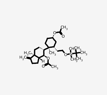 C=C1CC[C@H]2[C@H](OC(C)=O)[C@@H]([C@@]3(C)CC[C@H](OC(C)=O)C[C@@H]3CCO[Si](C)(C)C(C)(C)C)CC[C@]12C